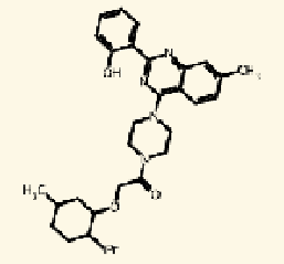 Cc1ccc2c(N3CCN(C(=O)COC4CC(C)CCC4C(C)C)CC3)nc(-c3ccccc3O)nc2c1